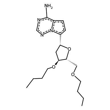 CCCCOC[C@H]1O[C@@H](c2ccc3c(N)ncnn23)C[C@@H]1OCCCC